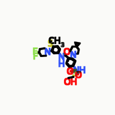 CSc1ccc(NC(=O)c2ccc(NS(=O)(=O)CCO)cc2N2CCC3(CC2)CC3)cc1N1CCC(F)(F)CC1